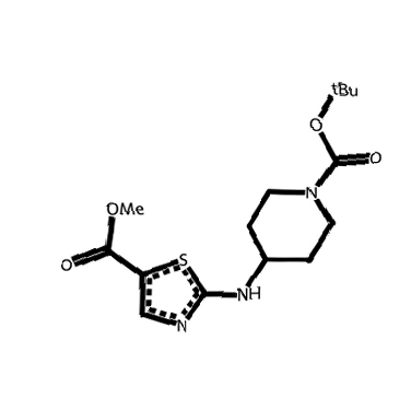 COC(=O)c1cnc(NC2CCN(C(=O)OC(C)(C)C)CC2)s1